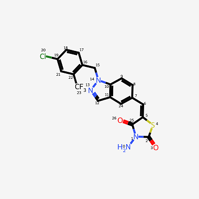 NN1C(=O)SC(=Cc2ccc3c(cnn3Cc3ccc(Cl)cc3C(F)(F)F)c2)C1=O